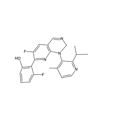 Cc1ccnc(C(C)C)c1N1CN=Cc2cc(F)c(-c3c(O)cccc3F)nc21